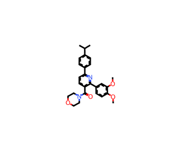 COc1ccc(-c2nc(-c3ccc(C(C)C)cc3)ccc2C(=O)N2CCOCC2)cc1OC